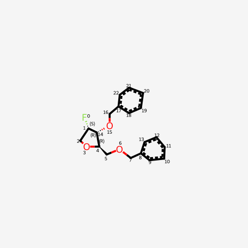 F[C@H]1CO[C@H](COCc2ccccc2)[C@H]1OCc1ccccc1